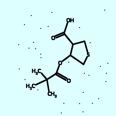 CC(C)(C)C(=O)OC1CSCC1C(=O)O